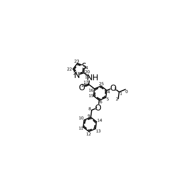 CC(C)Oc1cc(OCc2ccccc2)cc(C(=O)Nc2nccs2)c1